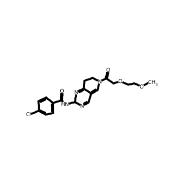 COCCOCC(=O)N1C=C2C=NC(NC(=O)c3ccc(Cl)cc3)N=C2CC1